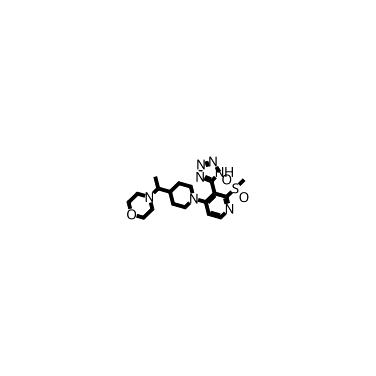 CC(C1CCN(c2ccnc(S(C)(=O)=O)c2-c2nnn[nH]2)CC1)N1CCOCC1